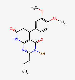 C=CCc1nc2c(c(=O)n1S)C(c1ccc(OC)c(OC)c1)CC(=O)N2